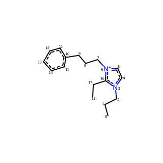 CCCn1cc[n+](CCCc2ccccc2)c1CC